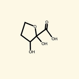 O=C(O)C1(O)OCCC1O